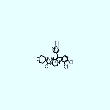 NC1(C(=O)N2CCn3c(c(-c4cn[nH]c4)c4ccc(Cl)c(Cl)c43)C2)CCOCC1